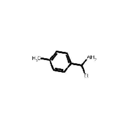 CC[CH]([AlH2])c1ccc(C)cc1